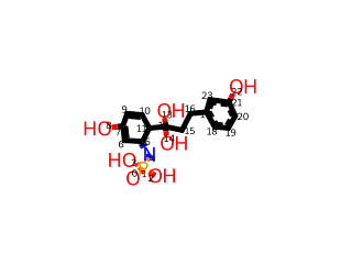 O=P(O)(O)N=C1C=C(O)C=CC1C(O)(O)CCc1cccc(O)c1